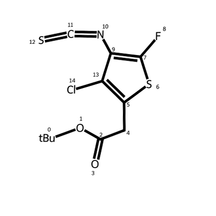 CC(C)(C)OC(=O)Cc1sc(F)c(N=C=S)c1Cl